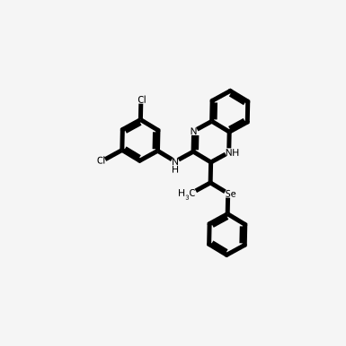 CC([Se]c1ccccc1)C1Nc2ccccc2N=C1Nc1cc(Cl)cc(Cl)c1